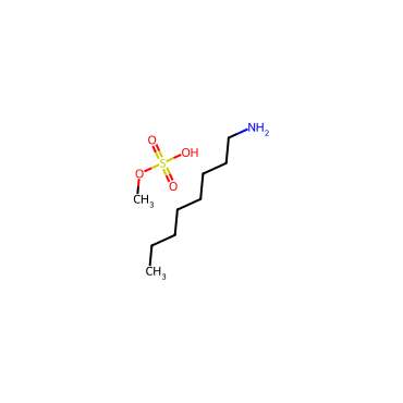 CCCCCCCCN.COS(=O)(=O)O